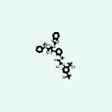 CCC(Oc1ccc(C(C)(C)CC)cc1C(C)(C)CC)C(=O)Nc1cccc(C(=O)C(OC)(Sc2nc3ccccc3o2)C(=O)Nc2ccccc2)c1